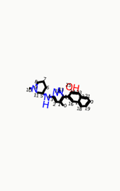 Cc1cc(NC2CCCN(C)C2)nnc1-c1cc2ccccc2cc1O